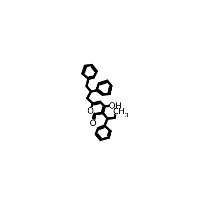 CCC(c1ccccc1)c1c(O)cc(CC(Cc2ccccc2)c2ccccc2)oc1=O